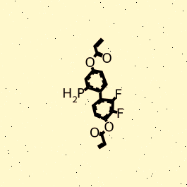 C=CC(=O)Oc1ccc(-c2ccc(OC(=O)C=C)c(F)c2F)c(P)c1